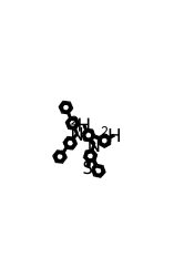 [2H]c1ccc2c(c1)c1cc([2H])c(N(c3ccc(-c4ccccc4)cc3)c3ccc(-c4ccccc4)cc3)cc1n2-c1ccc2sc3ccccc3c2c1